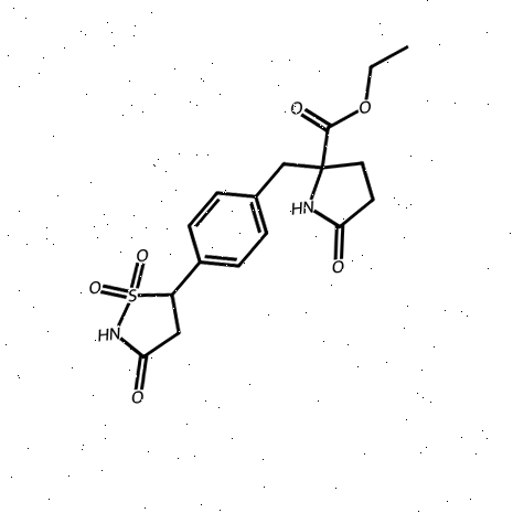 CCOC(=O)C1(Cc2ccc(C3CC(=O)NS3(=O)=O)cc2)CCC(=O)N1